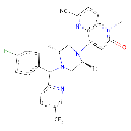 CC[C@H]1CN(C(c2ccc(F)cc2)c2ccc(C(F)(F)F)cn2)[C@H](C)CN1c1cc(=O)n(C)c2ccc(C#N)nc12